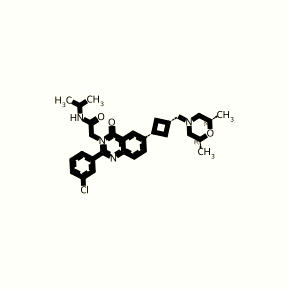 CC(C)NC(=O)Cn1c(-c2cccc(Cl)c2)nc2ccc([C@H]3C[C@@H](CN4C[C@@H](C)O[C@@H](C)C4)C3)cc2c1=O